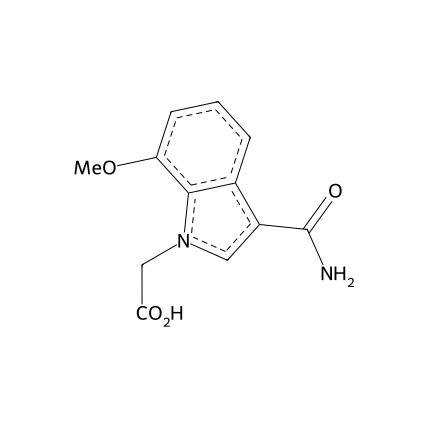 COc1cccc2c(C(N)=O)cn(CC(=O)O)c12